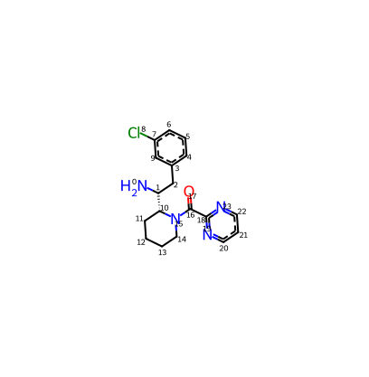 NC(Cc1cccc(Cl)c1)[C@H]1CCCCN1C(=O)c1ncccn1